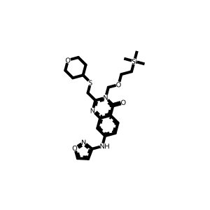 C[Si](C)(C)CCOCn1c(CSC2CCOCC2)nc2cc(Nc3ccon3)ccc2c1=O